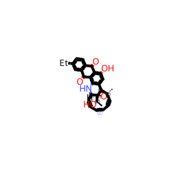 CCc1ccc2c(c1)C(=O)c1c3c(cc(O)c1C2=O)[C@@]12O[C@@]1([C@@H](C)O)[C@H](C#C/C=C\C#C[C@H]2C)N3